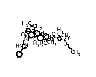 C=C(C)[C@@H]1CC[C@]2(C(=O)NCc3ncc(-c4ccccc4)[nH]3)CC[C@]3(C)[C@H](CC[C@@H]4[C@@]5(C)CC[C@H](OC(=O)[C@H]6C[C@@H](C(=O)OCCCC)C6(C)C)C(C)(C)[C@@H]5CC[C@]43C)[C@@H]12